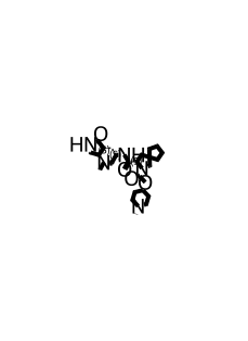 CN=C[C@H](C[C@@H]1CCNC1=O)NC(=O)[C@@H]1CC2(CCCC2)CN1C(=O)OC1CCN(C)CC1